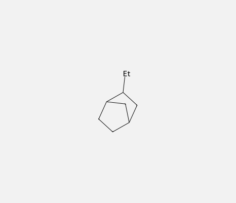 [CH2]CC1CC2CCC1C2